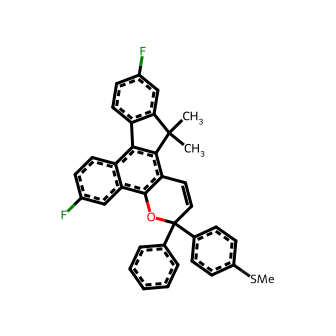 CSc1ccc(C2(c3ccccc3)C=Cc3c4c(c5ccc(F)cc5c3O2)-c2ccc(F)cc2C4(C)C)cc1